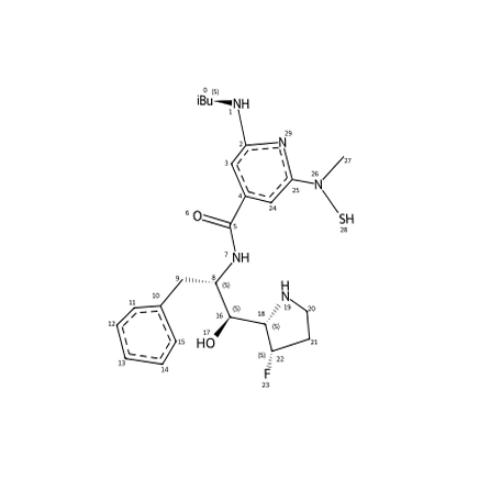 CC[C@H](C)Nc1cc(C(=O)N[C@@H](Cc2ccccc2)[C@H](O)[C@@H]2NCC[C@@H]2F)cc(N(C)S)n1